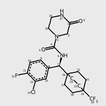 O=C1CN(C(=O)N[C@H](c2ccc(F)c(Cl)c2)C23CCC(C(F)(F)F)(CC2)CC3)CCN1